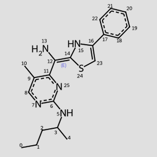 CCCC(C)Nc1ncc(C)c(/C(N)=C2/NC(c3ccccc3)=CS2)n1